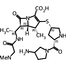 CNCC(=O)N[C@H](C)[C@H]1C(=O)N2C(C(=O)O)=C(S[C@@H]3CN[C@H](C(=O)N4CCC(N)C4)C3)[C@H](C)[C@H]12